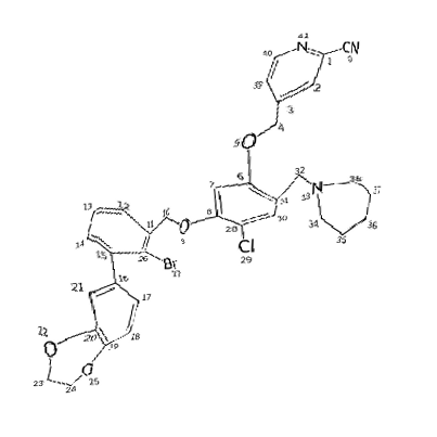 N#Cc1cc(COc2cc(OCc3cccc(-c4ccc5c(c4)OCCO5)c3Br)c(Cl)cc2CN2CCCCC2)ccn1